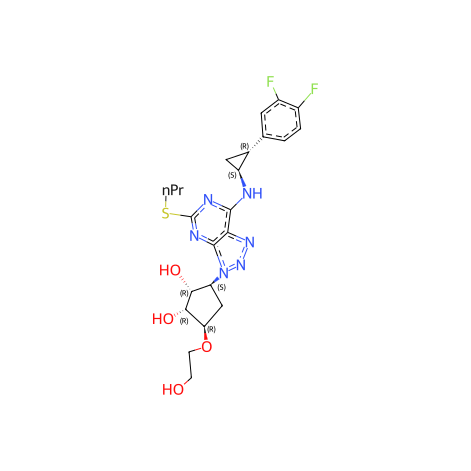 CCCSc1nc(N[C@H]2C[C@@H]2c2ccc(F)c(F)c2)c2nnn([C@H]3C[C@@H](OCCO)[C@H](O)[C@@H]3O)c2n1